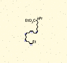 CC/C=C\C/C=C\C/C=C\C/C=C\C/C=C\CCCCC(CCC)C(=O)OCC